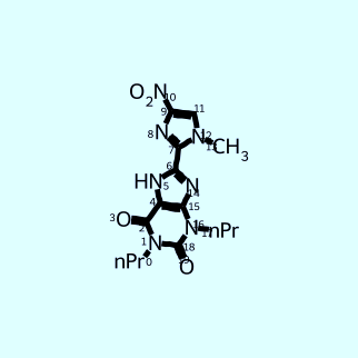 CCCn1c(=O)c2[nH]c(-c3nc([N+](=O)[O-])cn3C)nc2n(CCC)c1=O